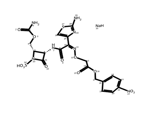 NC(=O)OC[C@@H]1[C@H](NC(=O)/C(=N\OCC(=O)OCc2ccc([N+](=O)[O-])cc2)c2csc(N)n2)C(=O)N1S(=O)(=O)O.[NaH]